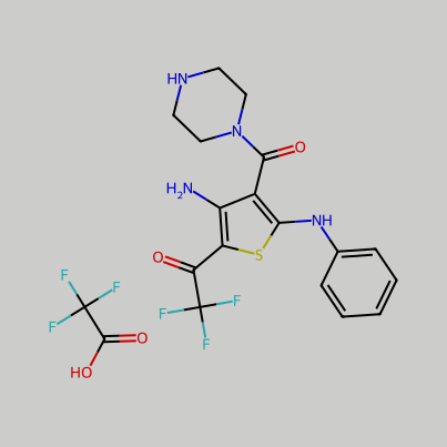 Nc1c(C(=O)C(F)(F)F)sc(Nc2ccccc2)c1C(=O)N1CCNCC1.O=C(O)C(F)(F)F